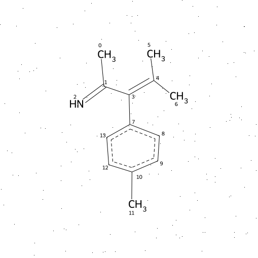 CC(=N)C(=C(C)C)c1ccc(C)cc1